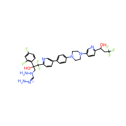 N/N=C\N(N)CC(O)(c1ccc(F)cc1F)C(F)(F)c1ccc(-c2ccc(N3CCN(c4ccc(C(O)CC(F)(F)F)nc4)CC3)cc2)cn1